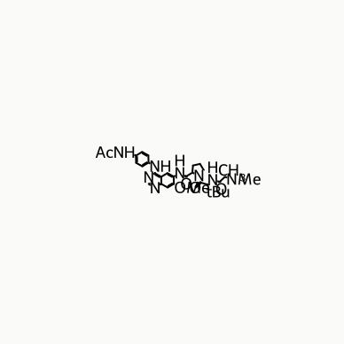 CNC(C)C(=O)NC(C(=O)N1CCCC1C(=O)Nc1cc2c(Nc3ccc(NC(C)=O)cc3)ncnc2cc1OC)C(C)(C)C